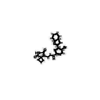 O=C1NC(=O)C2(CCC2)N1CCNc1ncc(Br)c(-c2cc3ccccc3s2)n1